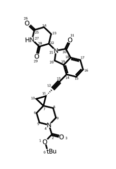 CC(C)(C)OC(=O)N1CCC2(CC1)C[C@@H]2C#Cc1cccc2c1CN(C1CCC(=O)NC1=O)C2=O